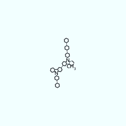 CC12C=CC=CC1N(c1ccc(-c3ccc(-c4ccccc4)cc3)cc1)c1ccc(-c3ccc4c(c3)c3ccccc3n4-c3ccc(-c4ccccc4)cc3)cc12